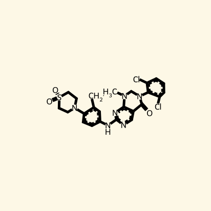 [CH2]c1cc(Nc2ncc3c(n2)N(C)CN(c2c(Cl)cccc2Cl)C3=O)ccc1N1CCS(=O)(=O)CC1